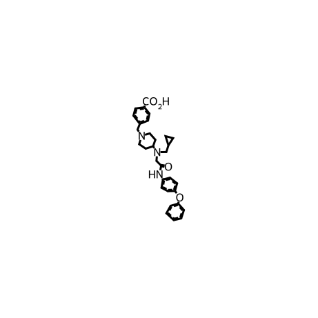 O=C(CN(CC1CC1)C1CCN(Cc2ccc(C(=O)O)cc2)CC1)Nc1ccc(Oc2ccccc2)cc1